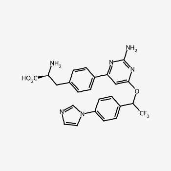 Nc1nc(OC(c2ccc(-n3ccnc3)cc2)C(F)(F)F)cc(-c2ccc(C[C@H](N)C(=O)O)cc2)n1